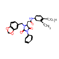 Cc1cc(NC(=O)CC2C(=O)N(c3ccccc3)C(=O)N2Cc2ccc3c(c2)OCO3)ccc1C(=O)O